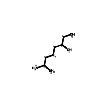 NC(N)COCC(O)CO